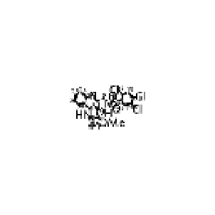 COC(=O)[C@@H](Nc1nc(CNS(=O)(=O)c2cc(Cl)c(Cl)cc2Cl)nc2ccccc12)C(C)C